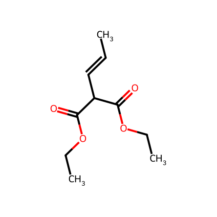 CC=CC(C(=O)OCC)C(=O)OCC